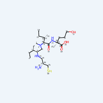 CCC(C)C(CN(C)[C@H](C(=O)N[C@@](C)(CCCO)C(=O)O)[C@@H](C)CC)NC[C@@H](N)CS